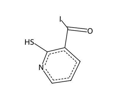 O=C(I)c1cccnc1S